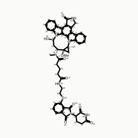 CO[C@]12C[C@]1(C)n1c3ccccc3c3c4c(c5c6ccccc6n(c5c31)[C@H](O)C[C@H]2N(C)C(=O)CCCC(=O)NCCOc1cccc2c1C(=O)N(C1CCC(=O)NC1=O)C2=O)C(=O)NC4